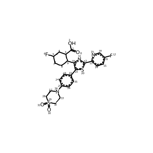 O=C(O)C1CC(F)CCC1c1nc(-c2ccc(F)cn2)sc1-c1ccc(N2CCS(=O)(=O)CC2)cc1